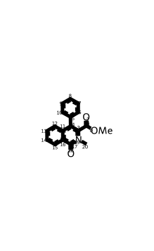 COC(=O)c1c(-c2ccccc2)c2ccccc2c(=O)n1C